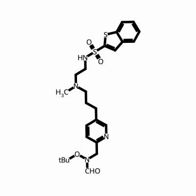 CN(CCCc1ccc(CN(C=O)OC(C)(C)C)nc1)CCNS(=O)(=O)c1cc2ccccc2s1